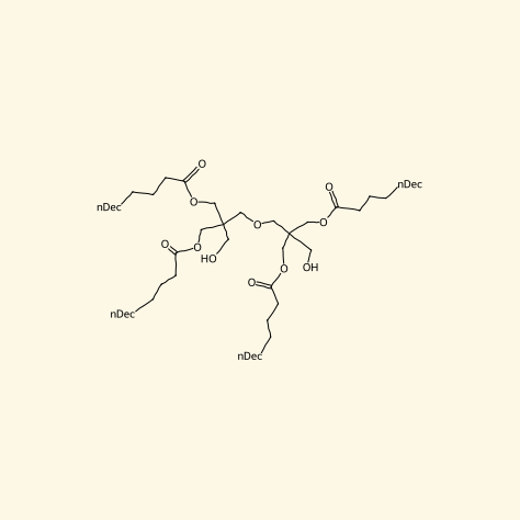 CCCCCCCCCCCCCC(=O)OCC(CO)(COCC(CO)(COC(=O)CCCCCCCCCCCCC)COC(=O)CCCCCCCCCCCCC)COC(=O)CCCCCCCCCCCCC